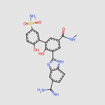 CNC(=O)c1cc(-c2nc3cc(C(=N)N)ccc3[nH]2)c(O)c(-c2cc(S(N)(=O)=O)ccc2O)c1